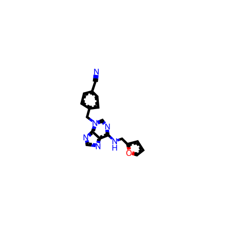 N#Cc1ccc(Cn2cnc(NCc3ccco3)c3ncnc2-3)cc1